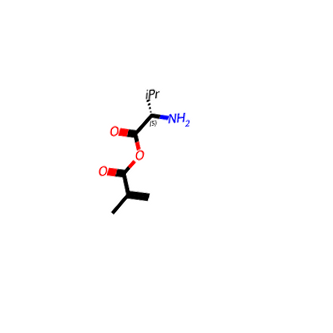 C=C(C)C(=O)OC(=O)[C@@H](N)C(C)C